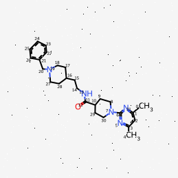 Cc1cc(C)nc(N2CCC(C(=O)NCCC3CCN(Cc4ccccc4)CC3)CC2)n1